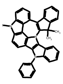 CC1(C)c2ccccc2-c2c1n1c3c(ccc4c3c3c2cccc3n4I)c2c1c1ccccc1n2-c1ccccc1